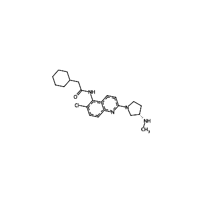 CN[C@H]1CCN(c2ccc3c(NC(=O)CC4CCCCC4)c(Cl)ccc3n2)C1